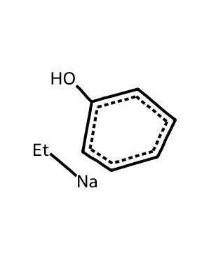 C[CH2][Na].Oc1ccccc1